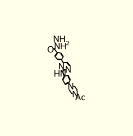 CC(=O)N1CCN(c2ccc(Nc3nccc(-c4ccc(C(=O)NCN)cc4)n3)cc2)CC1